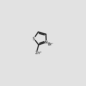 [Br-].[Zn+][c]1nccs1